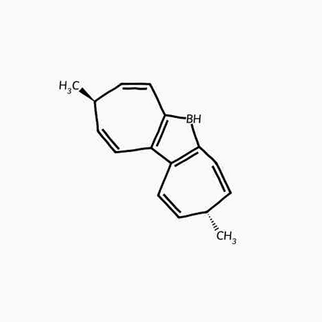 C[C@H]1C=CC2=C(C=C1)C1=C(B2)C=C[C@H](C)C=C1